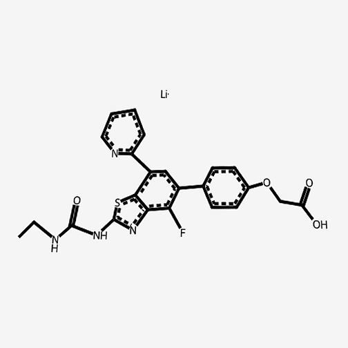 CCNC(=O)Nc1nc2c(F)c(-c3ccc(OCC(=O)O)cc3)cc(-c3ccccn3)c2s1.[Li]